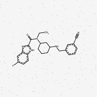 CCN(C(=O)c1nc2cc(F)ccc2[nH]1)C1CCCC(NCc2cccc(C#N)c2)C1